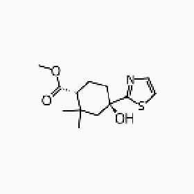 COC(=O)[C@@H]1CC[C@](O)(c2nccs2)CC1(C)C